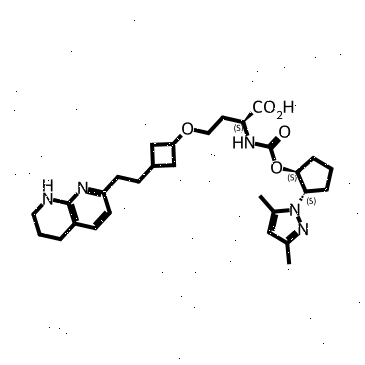 Cc1cc(C)n([C@H]2CCC[C@@H]2OC(=O)N[C@@H](CCOC2CC(CCc3ccc4c(n3)NCCC4)C2)C(=O)O)n1